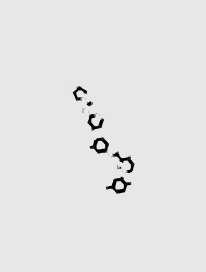 Cc1cc(=O)n(-c2cc(Cl)ccc2F)nc1C(=O)Nc1ccc(Oc2ccnc(NC(=O)N3CCC(C)(O)C3)c2)c(F)c1